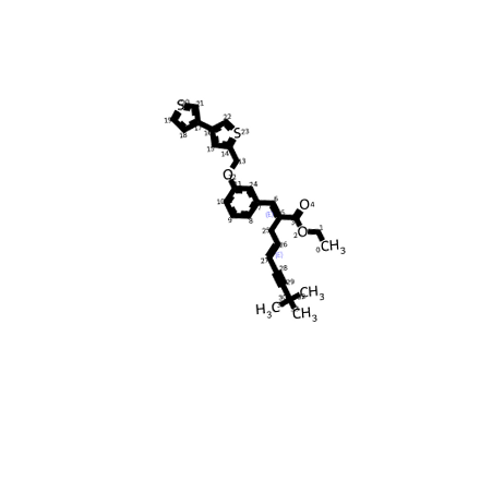 CCOC(=O)/C(=C/c1cccc(OCc2cc(-c3ccsc3)cs2)c1)C/C=C/C#CC(C)(C)C